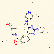 O=C(c1cccc(-c2nc(N3CCOCC3)nc3c2CCN3c2ccncc2)c1)N1CCC(O)CC1